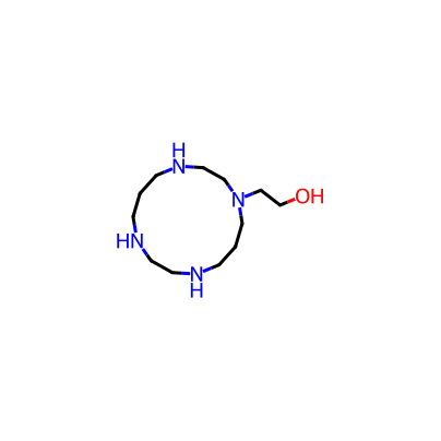 OCCN1CCCNCCNCCCNCC1